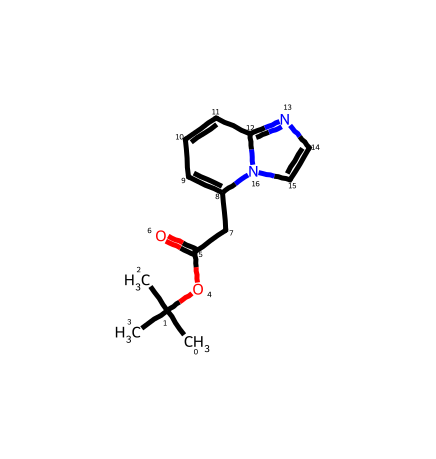 CC(C)(C)OC(=O)Cc1cccc2nccn12